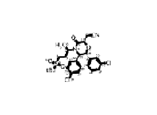 CC(CCS(=O)(=O)C(C)(C)C)N1C(=O)[C@@H](CC#N)O[C@H](c2cccc(Cl)c2)[C@H]1c1ccc(Cl)cc1